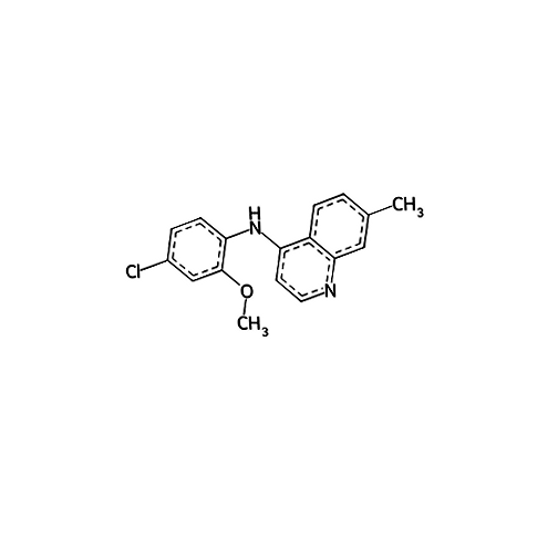 COc1cc(Cl)ccc1Nc1ccnc2cc(C)ccc12